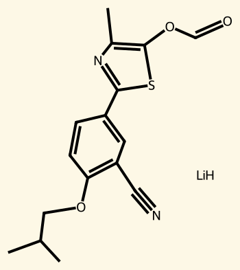 Cc1nc(-c2ccc(OCC(C)C)c(C#N)c2)sc1OC=O.[LiH]